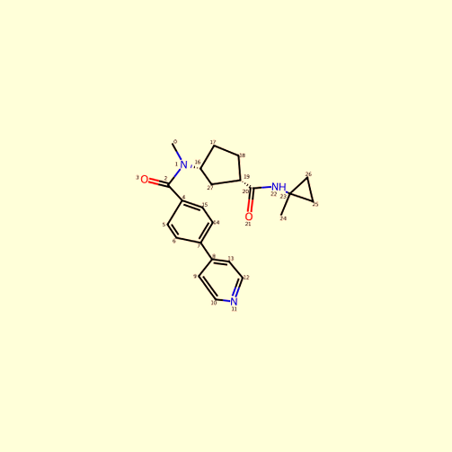 CN(C(=O)c1ccc(-c2ccncc2)cc1)[C@@H]1CC[C@H](C(=O)NC2(C)CC2)C1